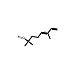 C=C/C(C)=C/CCC(C)(C)OC